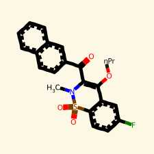 CCCOC1=C(C(=O)c2ccc3ccccc3c2)N(C)S(=O)(=O)c2ccc(F)cc21